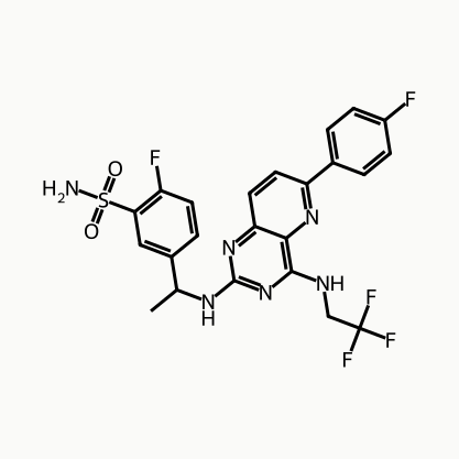 CC(Nc1nc(NCC(F)(F)F)c2nc(-c3ccc(F)cc3)ccc2n1)c1ccc(F)c(S(N)(=O)=O)c1